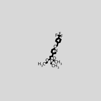 CCOC(CC(OCC)c1ccc(OCc2ccc(C(F)(F)F)cc2)nc1)OCC